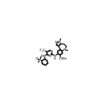 COc1cc2c(cc1Nc1ncc(C(F)(F)F)c(Nc3ccccc3P(C)(C)=O)n1)-c1cnn(C)c1CCN2C